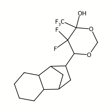 OC1(C(F)(F)F)OCOC(C2CC3CC2C2CCCCC32)C1(F)F